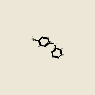 Sc1ccc(Sc2ccccc2)cc1